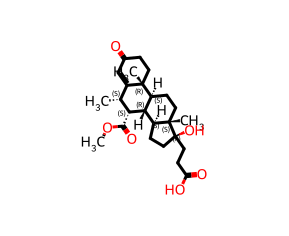 COC(=O)[C@H]1[C@@H]2[C@H](CC[C@@]3(C)[C@H]2CC[C@@]3(O)CCC(=O)O)[C@@]2(C)CCC(=O)C=C2[C@H]1C